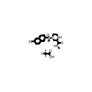 CNC(=O)C1CN(S(=O)(=O)c2ccc3cc(Cl)ccc3c2)CCN1.O=C(O)C(F)(F)F